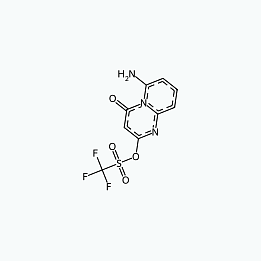 Nc1cccc2nc(OS(=O)(=O)C(F)(F)F)cc(=O)n12